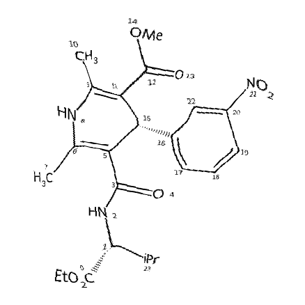 CCOC(=O)[C@H](NC(=O)C1=C(C)NC(C)=C(C(=O)OC)[C@@H]1c1cccc([N+](=O)[O-])c1)C(C)C